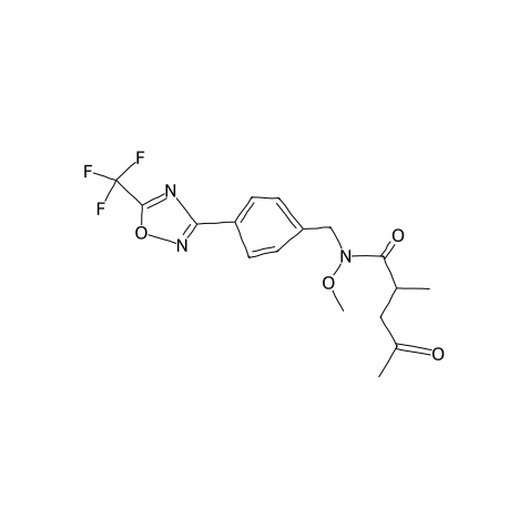 CON(Cc1ccc(-c2noc(C(F)(F)F)n2)cc1)C(=O)C(C)CC(C)=O